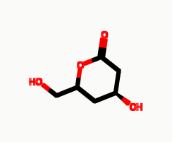 O=C1C[C@@H](O)CC(CO)O1